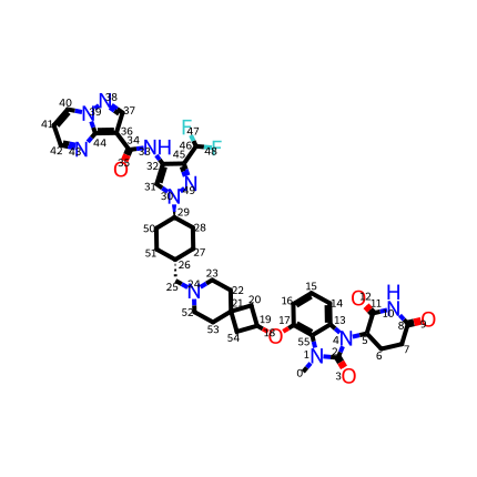 Cn1c(=O)n(C2CCC(=O)NC2=O)c2cccc(OC3CC4(CCN(C[C@H]5CC[C@H](n6cc(NC(=O)c7cnn8cccnc78)c(C(F)F)n6)CC5)CC4)C3)c21